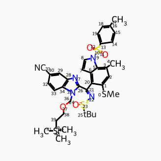 CSc1cc(C)c2c(ccn2S(=O)(=O)c2ccc(C)cc2)c1/C(=N/[S+]([O-])C(C)(C)C)c1nc2cc(C#N)ccc2n1COCC[Si](C)(C)C